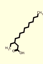 CCCCCCCCCCCC(CC)CC(=O)O